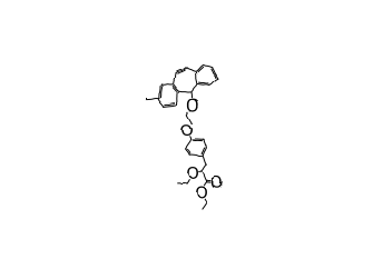 CCOC(=O)C(Cc1ccc(OCCOC2c3ccccc3C=Cc3cc(C)ccc32)cc1)OCC